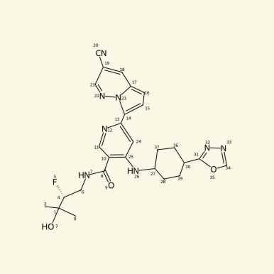 CC(C)(O)[C@H](F)CNC(=O)c1cnc(-c2ccc3cc(C#N)cnn23)cc1NC1CCC(c2nnco2)CC1